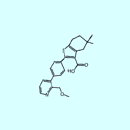 COCc1ncccc1-c1ccc(-c2sc3c(c2C(=O)O)CC(C)(C)CC3)cc1